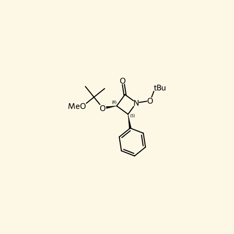 COC(C)(C)O[C@H]1C(=O)N(OC(C)(C)C)[C@H]1c1ccccc1